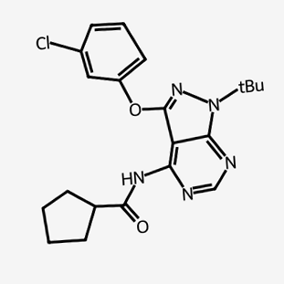 CC(C)(C)n1nc(Oc2cccc(Cl)c2)c2c(NC(=O)C3CCCC3)ncnc21